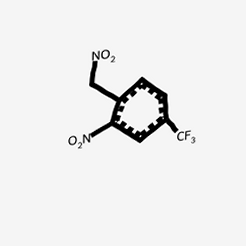 O=[N+]([O-])Cc1ccc(C(F)(F)F)cc1[N+](=O)[O-]